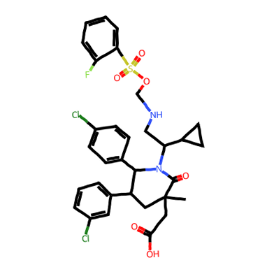 CC1(CC(=O)O)CC(c2cccc(Cl)c2)C(c2ccc(Cl)cc2)N(C(CNCOS(=O)(=O)c2ccccc2F)C2CC2)C1=O